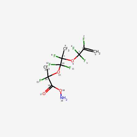 C=C(F)C(F)(F)OC(F)(C(F)(F)F)C(F)(F)OC(F)(C(=O)ON)C(F)(F)F